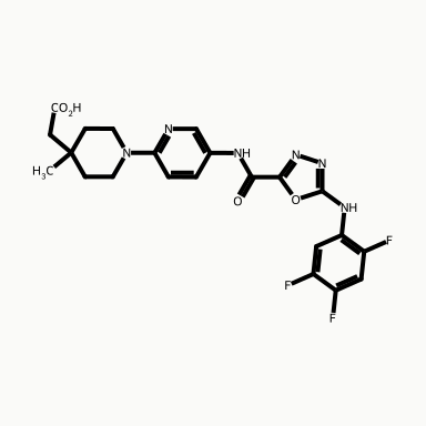 CC1(CC(=O)O)CCN(c2ccc(NC(=O)c3nnc(Nc4cc(F)c(F)cc4F)o3)cn2)CC1